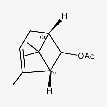 CC(=O)OC1[C@H]2CC=C(C)[C@@H]1C2(C)C